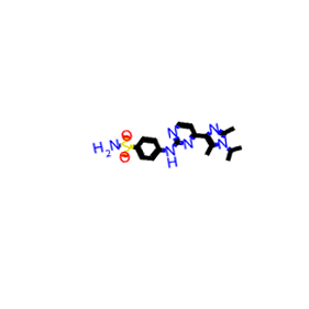 Cc1nc(-c2ccnc(Nc3ccc(S(N)(=O)=O)cc3)n2)c(C)n1C(C)C